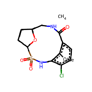 C.COc1c2ccc(Cl)c1NS(=O)(=O)C1CCC(CNC2=O)O1